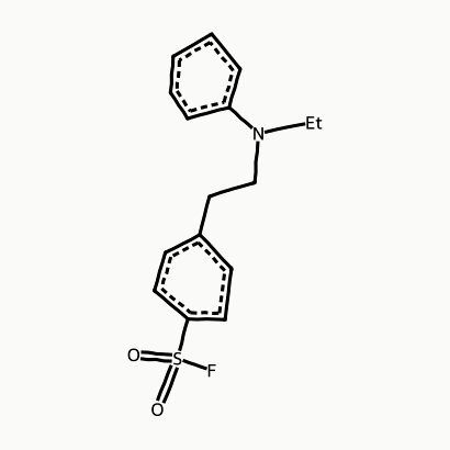 CCN(CCc1ccc(S(=O)(=O)F)cc1)c1ccccc1